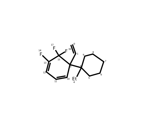 C=CC1(C2(CC)CCCCC2)C=CC=C(F)C1(F)F